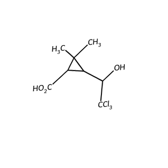 CC1(C)C(C(=O)O)C1C(O)C(Cl)(Cl)Cl